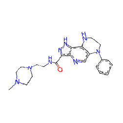 CN1CCN(CCNC(=O)c2n[nH]c3c4c(cnc23)N(c2ccccc2)CCN4)CC1